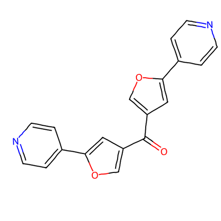 O=C(c1coc(-c2ccncc2)c1)c1coc(-c2ccncc2)c1